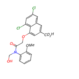 COc1ccccc1N(CO)C(=O)COc1cc(C(=O)O)cc2cc(Cl)cc(Cl)c12